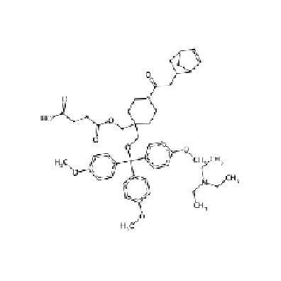 CCN(CC)CC.COc1ccc(C(OCC2(COC(=O)CCC(=O)O)CCN(C(=O)CC3CC4C=CC3C4)CC2)(c2ccc(OC)cc2)c2ccc(OC)cc2)cc1